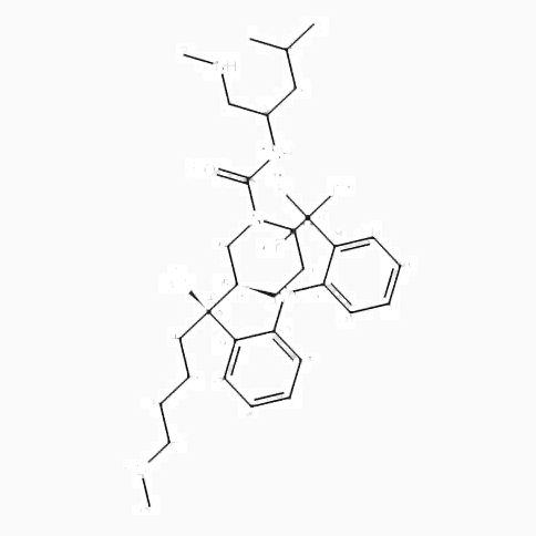 CNCC(CC(C)C)NC(=O)N1CCC[C@@H]([C@@](O)(CCCCOC)c2ccccc2Oc2ccccc2C(F)(F)F)C1